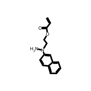 C=CC(=O)OCCN(N)c1ccc2ccccc2c1